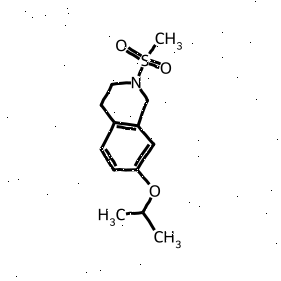 CC(C)Oc1ccc2c(c1)CN(S(C)(=O)=O)CC2